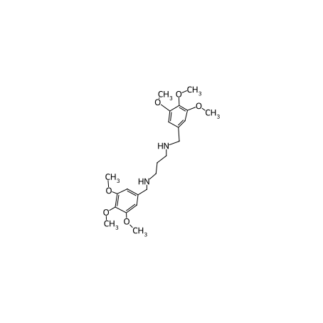 COc1cc(CNCCCNCc2cc(OC)c(OC)c(OC)c2)cc(OC)c1OC